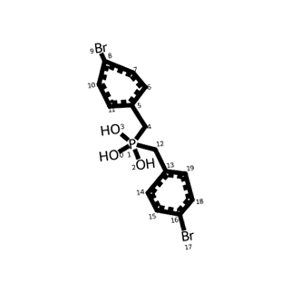 OP(O)(O)(Cc1ccc(Br)cc1)Cc1ccc(Br)cc1